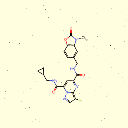 Cn1c(=O)oc2ccc(CNC(=O)c3cc(C(=O)NCC4CC4)n4ncc(F)c4n3)cc21